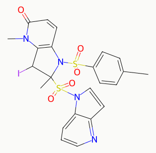 Cc1ccc(S(=O)(=O)N2c3ccc(=O)n(C)c3C(I)C2(C)S(=O)(=O)n2ccc3ncccc32)cc1